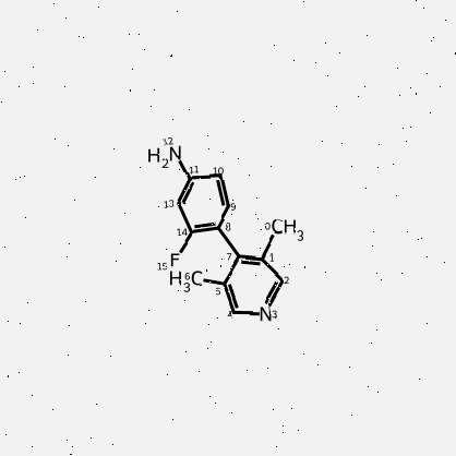 Cc1cncc(C)c1-c1ccc(N)cc1F